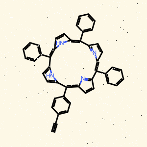 C#Cc1ccc(-c2c3nc(c(-c4ccccc4)c4nc(c(-c5ccccc5)c5ccc([nH]5)c(-c5ccccc5)c5ccc2[nH]5)C=C4)C=C3)cc1